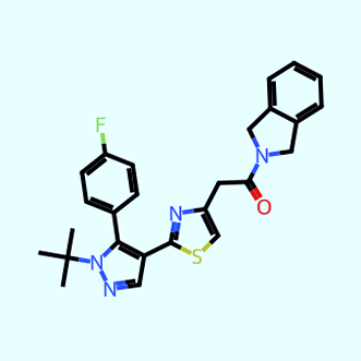 CC(C)(C)n1ncc(-c2nc(CC(=O)N3Cc4ccccc4C3)cs2)c1-c1ccc(F)cc1